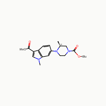 COC(=O)c1cn(C)c2cc(N3CCN(C(=O)OC(C)(C)C)C[C@@H]3C)ccc12